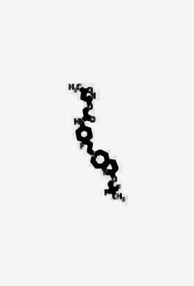 Cc1cc(OCC(=O)NC2CCC(F)(CCN3CCc4ccc(OCC(C)(F)F)nc4CC3)CC2)no1